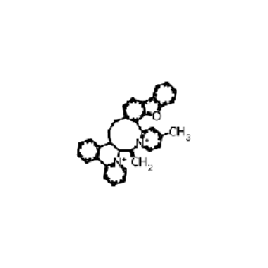 C=C1C2C(CCc3ccc4c(oc5ccccc54)c3-c3cc(C)cc[n+]31)c1ccccc1-c1cccc[n+]12